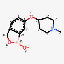 CN1CCC(Oc2ccc3c(c2)B(O)OC3)CC1